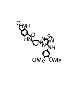 COc1ccc(Nc2nc(N3CCC(NC(=O)c4ccc5c(c4)NC(=O)C5)C3)nc3scnc23)cc1OC